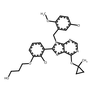 COc1ccc(Cl)cc1Cn1c(-c2cccc(OCCCO)c2Cl)nc2c(OC3(C)CC3)ncnc21